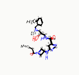 CCN(Cc1ccccc1C)C[C@@H](O)CNC(=O)c1cc(NC2CN(C(=O)COC)C2)ncn1